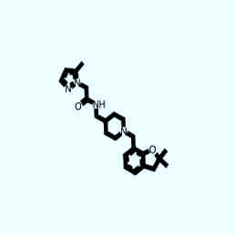 Cc1ccnn1CC(=O)NCC1CCN(Cc2cccc3c2OC(C)(C)C3)CC1